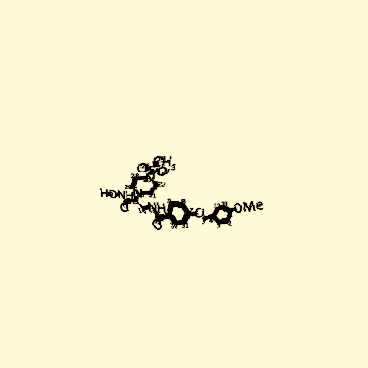 COc1ccc(COc2ccc(C(=O)NC[C@@H](C(=O)NO)N3CCN(S(C)(=O)=O)CC3)cc2)cc1